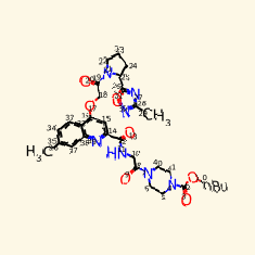 CCCCOC(=O)N1CCN(C(=O)CNC(=O)c2cc(OCC(=O)N3CCCC3c3nc(C)no3)c3ccc(C)cc3n2)CC1